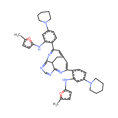 Cc1ccc(Nc2cc(N3CCCCC3)ccc2C2=CC3=CC(c4ccc(N5CCCCC5)cc4Nc4ccc(C)o4)=NC4=NC=NC(=N2)C4C3)o1